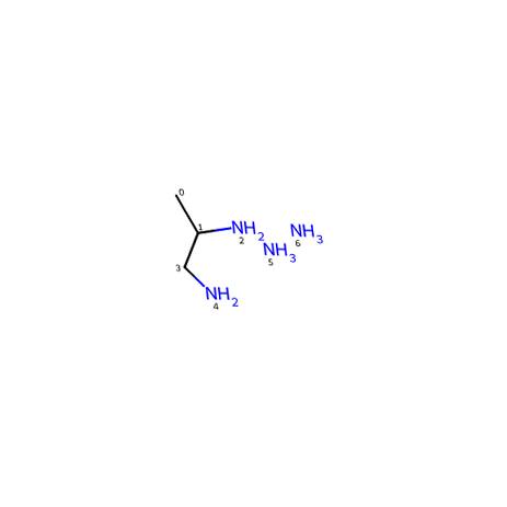 CC(N)CN.N.N